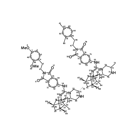 COc1ccc(CCN2C(=O)c3ccc(NC(=N[C@H]4C[C@H]5C[C@@H]([C@@H]4C)C5(C)C)N4CCN[C@@H](C)C4)cc3C2=O)c(OC)c1.Cc1ccc(CCN2C(=O)c3ccc(NC(=N[C@H]4C[C@H]5C[C@@H]([C@@H]4C)C5(C)C)N4CCNC(C)C4)cc3C2=O)c(C)c1